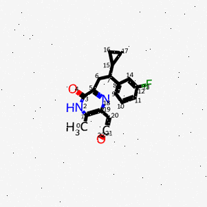 Cc1[nH]c(=O)c(CC(c2cccc(F)c2)C2CC2)nc1C=C=O